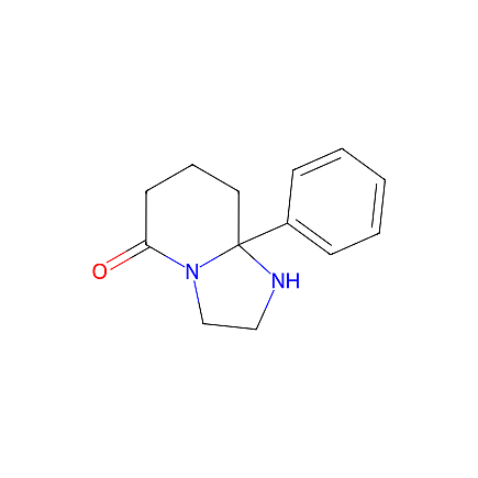 O=C1CCCC2(c3ccccc3)NCCN12